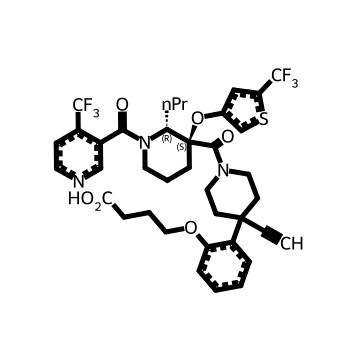 C#CC1(c2ccccc2OCCCC(=O)O)CCN(C(=O)[C@]2(Oc3csc(C(F)(F)F)c3)CCCN(C(=O)c3cnccc3C(F)(F)F)[C@@H]2CCC)CC1